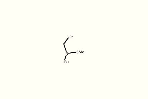 CCC(C)N(CC(C)C)SC